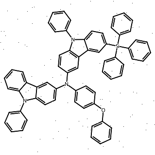 c1ccc(Oc2ccc(N(c3ccc4c(c3)c3ccccc3n4-c3ccccc3)c3ccc4c(c3)c3cc([Si](c5ccccc5)(c5ccccc5)c5ccccc5)ccc3n4-c3ccccc3)cc2)cc1